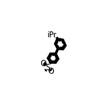 CC(C)c1cccc(-c2ccc(S(C)(=O)=O)cc2)c1